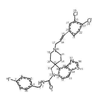 O=C(NCc1ccc(F)cc1)N1CC2(CCN(C/C=C/c3ccc(Cl)c(Cl)c3)CC2)c2c1ccc1scnc21